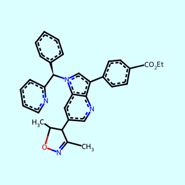 CCOC(=O)c1ccc(-c2cn([C@H](c3ccccc3)c3ccccn3)c3cc(C4C(C)=NOC4C)cnc23)cc1